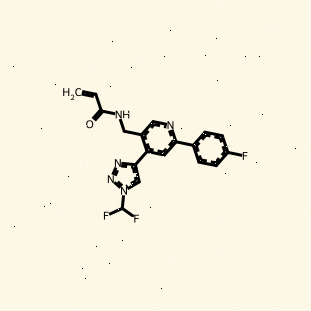 C=CC(=O)NCc1cnc(-c2ccc(F)cc2)cc1-c1cn(C(F)F)nn1